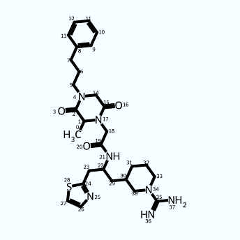 CC1C(=O)N(CCCc2ccccc2)CC(=O)N1CC(=O)NC(Cc1nccs1)CC1CCCN(C(=N)N)C1